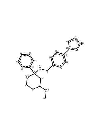 COC1CCOC(OCc2ccc(-n3ccnc3)cc2)(c2ccccc2)C1